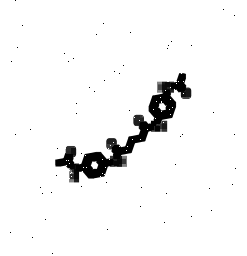 CC(=O)Nc1ccc(NC(=O)CCCC(=O)Nc2ccc(NC(C)=O)cc2)cc1